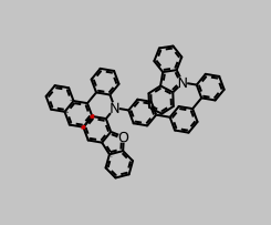 c1cc(-c2ccc(N(c3ccccc3-c3cccc4ccccc34)c3cccc4c3oc3ccccc34)cc2)cc(-c2ccccc2-n2c3ccccc3c3ccccc32)c1